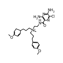 COC1=CCC(CCC[N+](C)(CCCc2ccc(OC)cc2)CCNC(=O)c2nc(Cl)c(N)nc2N)C=C1